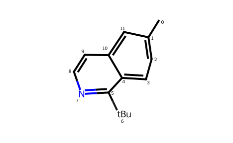 Cc1ccc2c(C(C)(C)C)nccc2c1